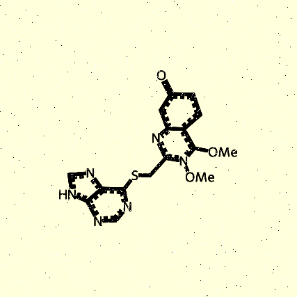 COc1c2ccc(=O)cc-2nc(CSc2ncnc3[nH]cnc23)n1OC